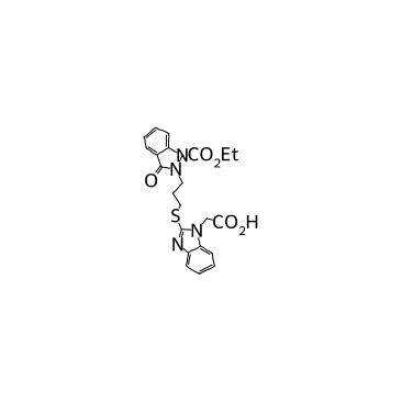 CCOC(=O)n1c2ccccc2c(=O)n1CCCSc1nc2ccccc2n1CC(=O)O